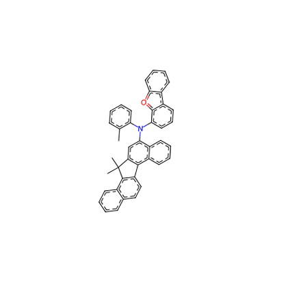 Cc1ccccc1N(c1cc2c(c3ccccc13)-c1ccc3ccccc3c1C2(C)C)c1cccc2c1oc1ccccc12